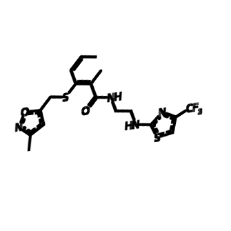 C/C=C\C(SCc1cc(C)no1)=C(/C)C(=O)NCCNc1nc(C(F)(F)F)cs1